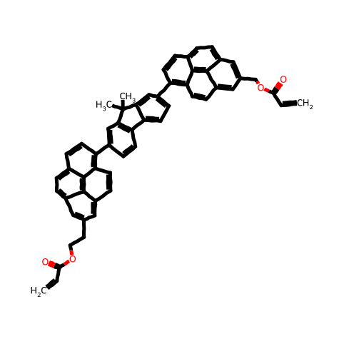 C=CC(=O)OCCc1cc2ccc3ccc(-c4ccc5c(c4)C(C)(C)c4cc(-c6ccc7ccc8cc(COC(=O)C=C)cc9ccc6c7c89)ccc4-5)c4ccc(c1)c2c34